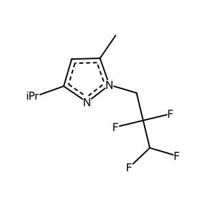 Cc1cc(C(C)C)nn1CC(F)(F)C(F)F